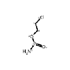 N[P](=O)OCCCl